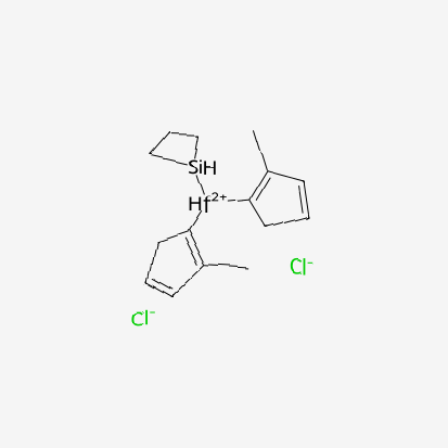 CC1=[C]([Hf+2]([C]2=C(C)C=CC2)[SiH]2CCC2)CC=C1.[Cl-].[Cl-]